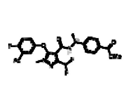 COC(=O)c1ccc([C@H](C)NC(=O)c2c(C(F)F)nn(C)c2Oc2ccc(F)c(C(C)=O)c2)cc1